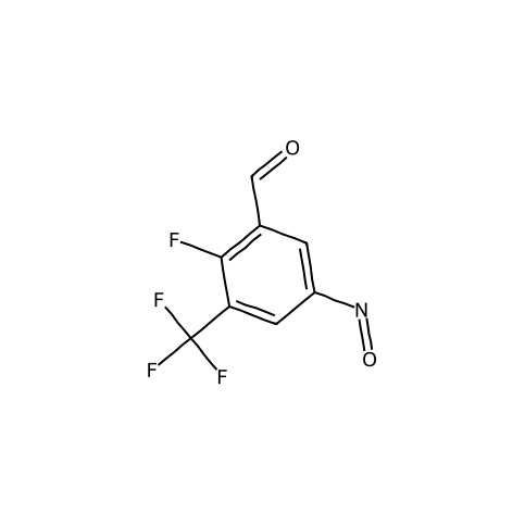 O=Cc1cc(N=O)cc(C(F)(F)F)c1F